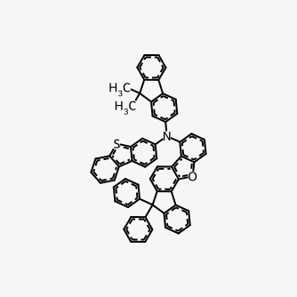 CC1(C)c2ccccc2-c2ccc(N(c3ccc4c(c3)sc3ccccc34)c3cccc4oc5c6c(ccc5c34)C(c3ccccc3)(c3ccccc3)c3ccccc3-6)cc21